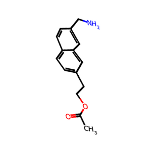 CC(=O)OCCc1ccc2ccc(CN)cc2c1